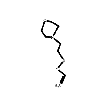 C=CSSCCN1CCOCC1